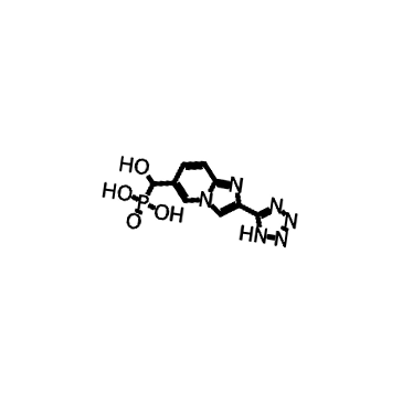 O=P(O)(O)C(O)c1ccc2nc(-c3nnn[nH]3)cn2c1